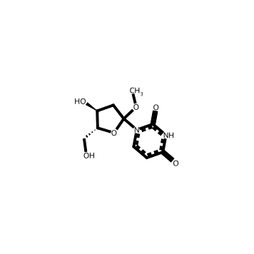 COC1(n2ccc(=O)[nH]c2=O)C[C@H](O)[C@@H](CO)O1